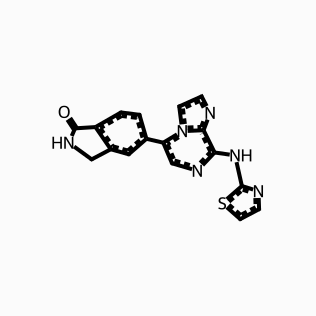 O=C1NCc2cc(-c3cnc(Nc4nccs4)c4nccn34)ccc21